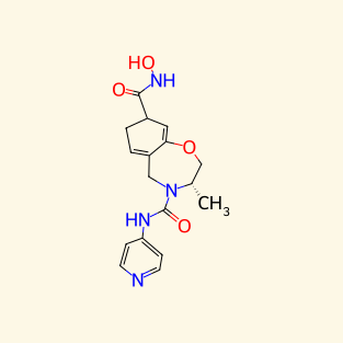 C[C@H]1COC2=CC(C(=O)NO)CC=C2CN1C(=O)Nc1ccncc1